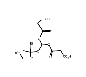 CCC(C)(CC)OC(OC(=O)CC(=O)O)OC(=O)CC(=O)O.CCCC